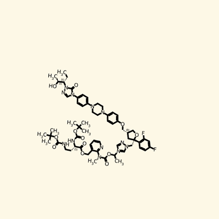 CC[C@@H]([C@H](C)O)n1ncn(-c2ccc(N3CCN(c4ccc(OC[C@@H]5CO[C@@](Cn6c[n+](C(C)OC(=O)N(C)c7ncccc7COC(=O)[C@H](CCNC(=O)OC(C)(C)C)NC(=O)OC(C)(C)C)cn6)(c6ccc(F)cc6F)C5)cc4)CC3)cc2)c1=O